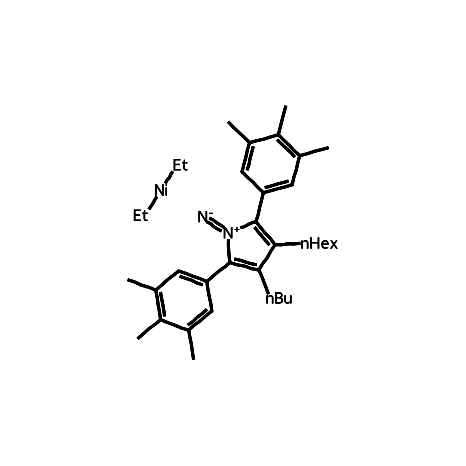 CCCCCCC1=C(c2cc(C)c(C)c(C)c2)[N+](=[N-])C(c2cc(C)c(C)c(C)c2)=C1CCCC.C[CH2][Ni][CH2]C